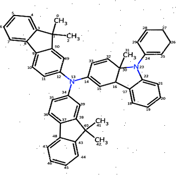 CC1(C)c2ccccc2-c2ccc(N(C3=CC4c5ccccc5N(C5=CCCC=C5)C4(C)C=C3)c3ccc4c(c3)C(C)(C)c3ccccc3-4)cc21